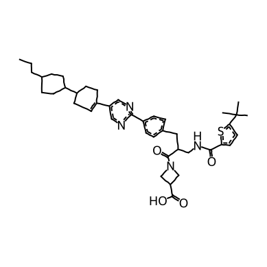 CCCC1CCC(C2CC=C(c3cnc(-c4ccc(CC(CNC(=O)c5ccc(C(C)(C)C)s5)C(=O)N5CC(C(=O)O)C5)cc4)nc3)CC2)CC1